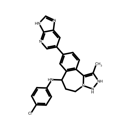 CC1=C2c3ccc(-c4cnc5[nH]cnc5c4)cc3C(Nc3ccc(Cl)cc3)CCN2NN1